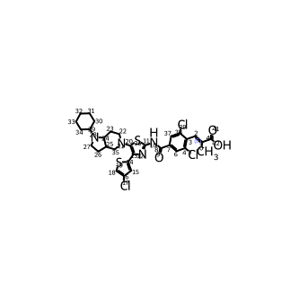 C/C(=C\c1c(Cl)cc(C(=O)Nc2nc(-c3cc(Cl)cs3)c(N3CCC4C(CCN4C4CCCCC4)C3)s2)cc1Cl)C(=O)O